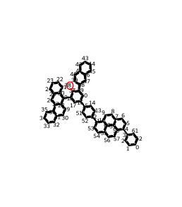 c1ccc(-c2ccc3ccc4c(-c5ccc(-c6cc(-c7c8ccccc8cc8c7ccc7ccccc78)c7oc8cc9ccccc9cc8c7c6)cc5)ccc5ccc2c3c54)cc1